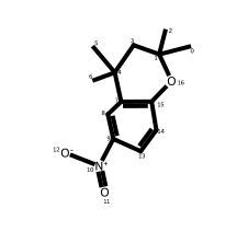 CC1(C)CC(C)(C)c2cc([N+](=O)[O-])ccc2O1